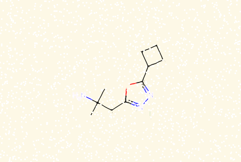 CC(C)(N)Cc1nnc(C2CCC2)o1.Cl